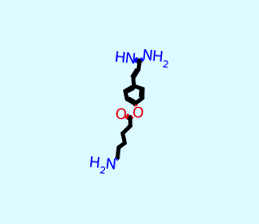 N=C(N)/C=C/c1ccc(OC(=O)CCCCCN)cc1